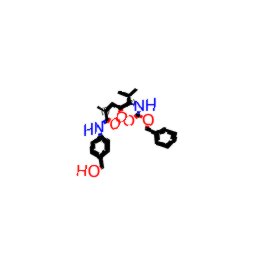 CC(C)[C@@H](NC(=O)OCc1ccccc1)C(=O)C[C@H](C)C(=O)Nc1ccc(CO)cc1